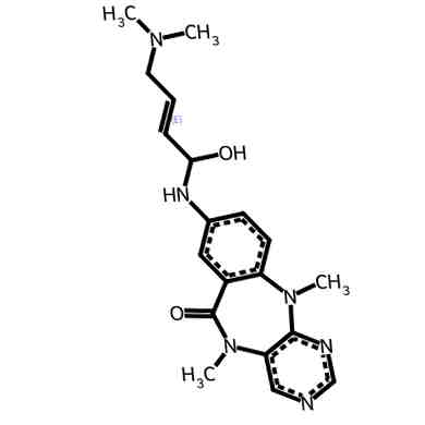 CN(C)C/C=C/C(O)Nc1ccc2c(c1)C(=O)N(C)c1cncnc1N2C